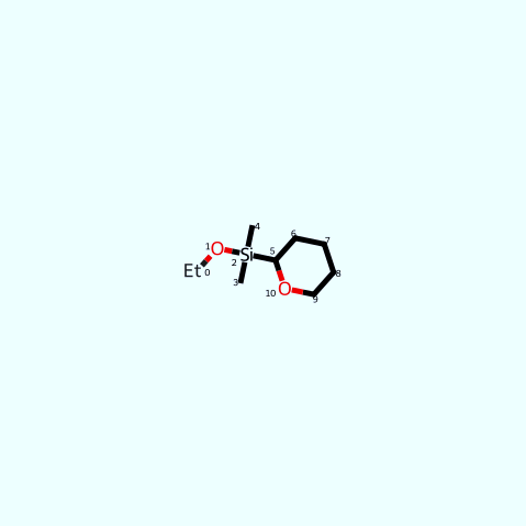 CCO[Si](C)(C)C1CCCCO1